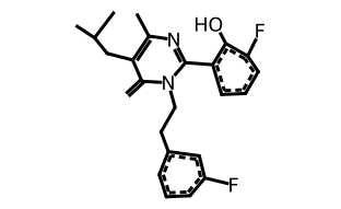 C=C1C(CC(C)C)=C(C)N=C(c2cccc(F)c2O)N1CCc1cccc(F)c1